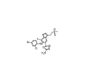 CS(=O)(=O)CCn1cnc2c(F)c(Nc3ccc(Br)cc3Cl)c(-c3nnc(N)o3)cc21